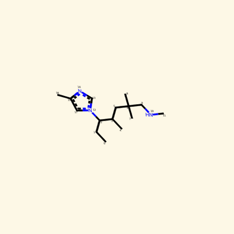 CCC(C(C)CC(C)(C)CNC)n1cnc(C)c1